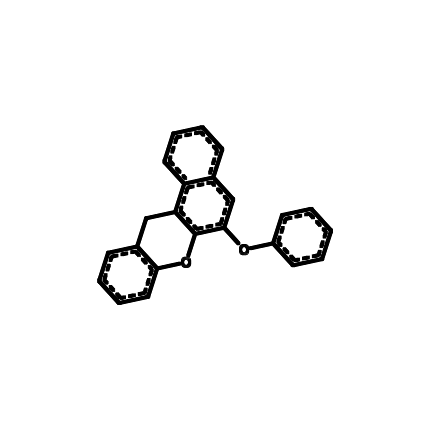 c1ccc(Oc2cc3ccccc3c3c2Oc2ccccc2C3)cc1